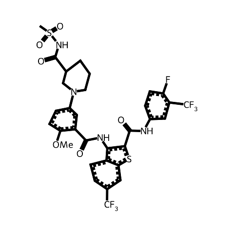 COc1ccc(N2CCCC(C(=O)NS(C)(=O)=O)C2)cc1C(=O)Nc1c(C(=O)Nc2ccc(F)c(C(F)(F)F)c2)sc2cc(C(F)(F)F)ccc12